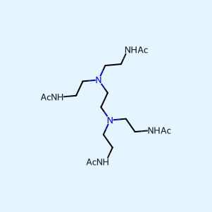 CC(=O)NCCN(CCNC(C)=O)CCN(CCNC(C)=O)CCNC(C)=O